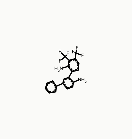 Nc1ccc(-c2ccccc2)cc1-c1ccc(C(F)(F)F)c(C(F)(F)F)c1N